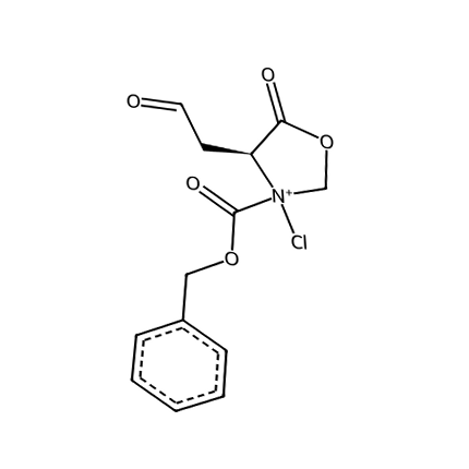 O=CC[C@H]1C(=O)OC[N+]1(Cl)C(=O)OCc1ccccc1